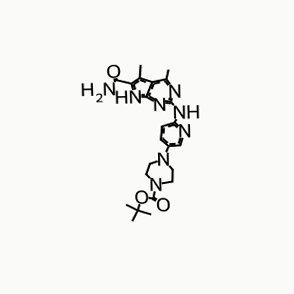 Cc1nc(Nc2ccc(N3CCN(C(=O)OC(C)(C)C)CC3)cn2)nc2[nH]c(C(N)=O)c(C)c12